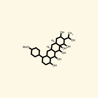 COC1CCC(C2CCC(O)C3C(O)C4C(O)C5(O)C(O)C(C(C)O)C(O)C[C@@H]5C[C@@H]4CC23)CC1